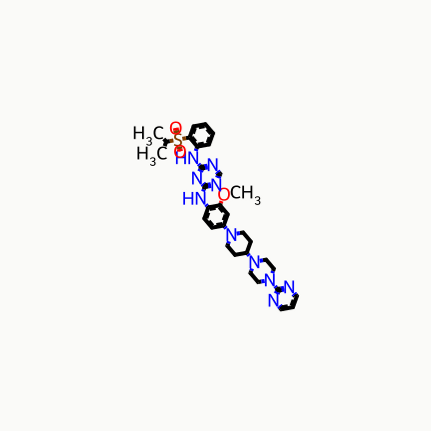 COc1cc(N2CCC(N3CCN(c4ncccn4)CC3)CC2)ccc1Nc1ncnc(Nc2ccccc2S(=O)(=O)C(C)C)n1